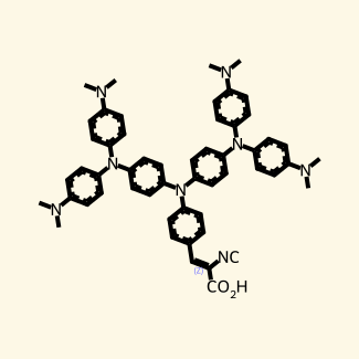 [C-]#[N+]/C(=C\c1ccc(N(c2ccc(N(c3ccc(N(C)C)cc3)c3ccc(N(C)C)cc3)cc2)c2ccc(N(c3ccc(N(C)C)cc3)c3ccc(N(C)C)cc3)cc2)cc1)C(=O)O